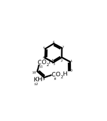 C=Cc1ccccc1.O=C(O)/C=C\C(=O)O.[KH]